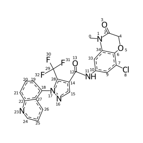 CN1C(=O)COc2c(Cl)cc(NC(=O)c3cnn(-c4cccc5ncccc45)c3C(F)(F)F)cc21